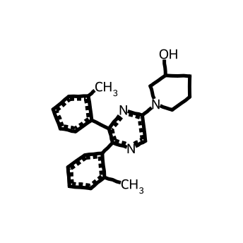 Cc1ccccc1-c1ncc(N2CCCC(O)C2)nc1-c1ccccc1C